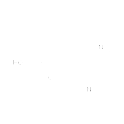 CC/C(=C/c1ccncc1N)C(=O)O